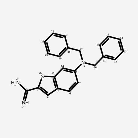 N=C(N)c1cc2ccc(N(Cc3ccccc3)Cc3ccccc3)cc2s1